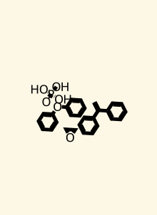 C1CO1.C=C(c1ccccc1)c1ccccc1.O=P(O)(O)O.c1ccc(Oc2ccccc2)cc1